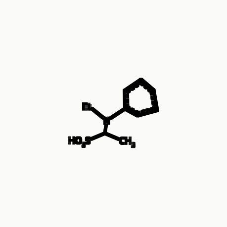 CCN(c1ccccc1)C(C)S(=O)(=O)O